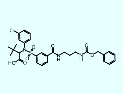 CC(C)(C)C(C(=O)O)N(c1cccc(Cl)c1)S(=O)(=O)c1cccc(C(=O)NCCCNC(=O)OCc2ccccc2)c1